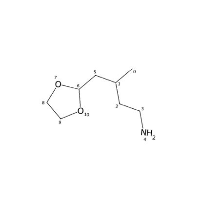 CC(CCN)CC1OCCO1